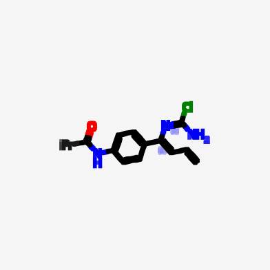 C=C/C=C(\N=C(/N)Cl)c1ccc(NC(=O)C(C)C)cc1